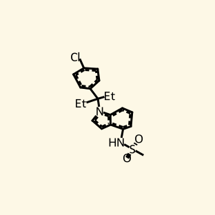 CCC(CC)(c1ccc(Cl)cc1)n1ccc2c(NS(C)(=O)=O)cccc21